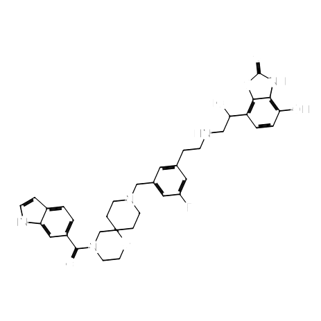 O=C(c1ccc2cc[nH]c2c1)N1CCOC2(CCN(Cc3cc(F)cc(CCNCC(O)c4ccc(O)c5[nH]c(=O)sc45)c3)CC2)C1